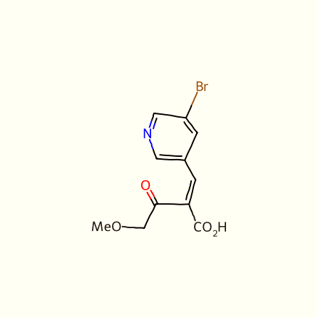 COCC(=O)C(=Cc1cncc(Br)c1)C(=O)O